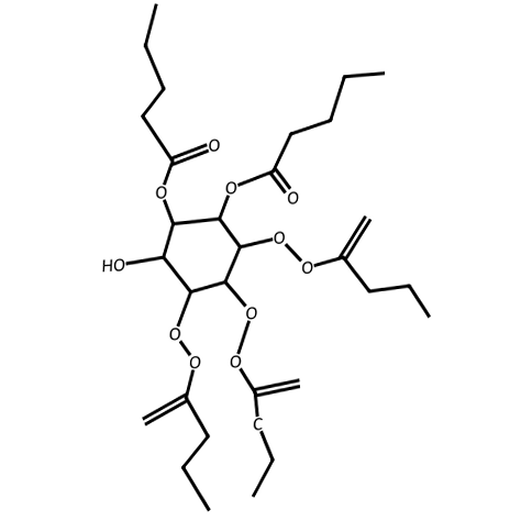 C=C(CCC)OOC1C(O)C(OC(=O)CCCC)C(OC(=O)CCCC)C(OOC(=C)CCC)C1OOC(=C)CCC